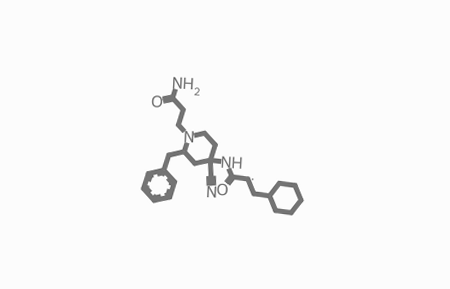 N#CC1(NC(=O)[CH]CC2CCCCC2)CCN(CCC(N)=O)C(Cc2ccccc2)C1